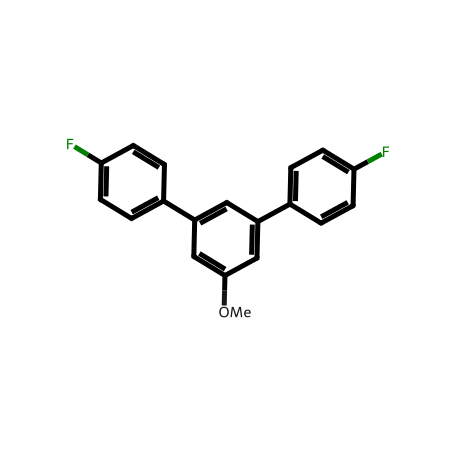 COc1cc(-c2ccc(F)cc2)cc(-c2ccc(F)cc2)c1